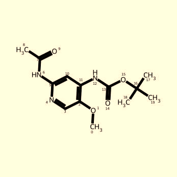 COc1cnc(NC(C)=O)cc1NC(=O)OC(C)(C)C